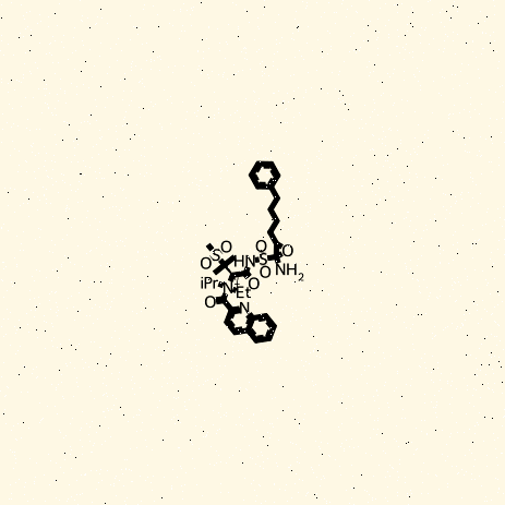 CC[N+](C(=O)c1ccc2ccccc2n1)(C(C)C)[C@H](C(=O)NS(=O)(=O)C1(N)OC1CCCCc1ccccc1)C(C)(C)S(C)(=O)=O